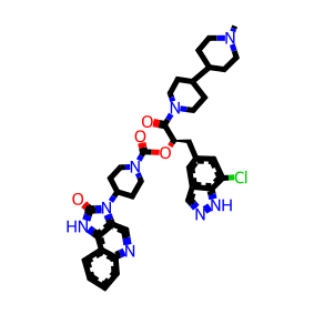 CN1CCC(C2CCN(C(=O)[C@@H](Cc3cc(Cl)c4[nH]ncc4c3)OC(=O)N3CCC(n4c(=O)[nH]c5c6ccccc6ncc54)CC3)CC2)CC1